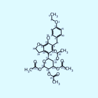 CCOc1ccc(Cc2cc([C@@H]3OC(OC(C)=O)[C@@H](OC(C)=O)C(OC(C)=O)[C@H]3OC(C)=O)c3c(c2Cl)OCC3)cc1